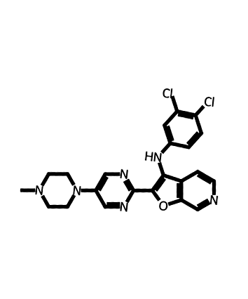 CN1CCN(c2cnc(-c3oc4cnccc4c3Nc3ccc(Cl)c(Cl)c3)nc2)CC1